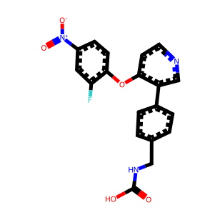 O=C(O)NCc1ccc(-c2cnccc2Oc2ccc([N+](=O)[O-])cc2F)cc1